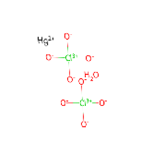 O.[Hg+2].[O-][Cl+3]([O-])([O-])[O-].[O-][Cl+3]([O-])([O-])[O-]